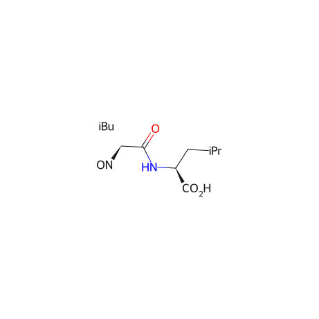 CC[C@H](C)[C@H](N=O)C(=O)N[C@@H](CC(C)C)C(=O)O